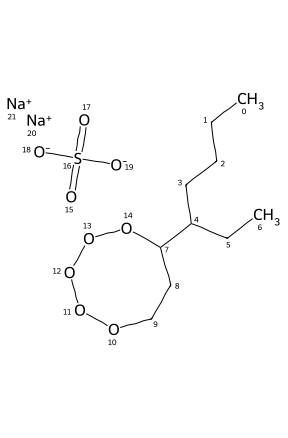 CCCCC(CC)C1CCOOOOO1.O=S(=O)([O-])[O-].[Na+].[Na+]